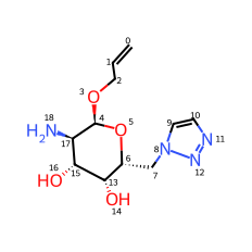 C=CCO[C@H]1O[C@H](Cn2ccnn2)[C@H](O)[C@H](O)[C@H]1N